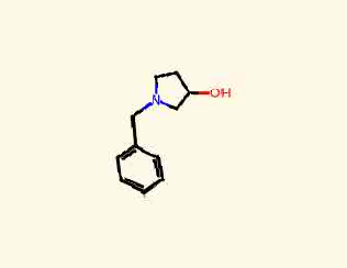 OC1CCN(Cc2cc[c]cc2)C1